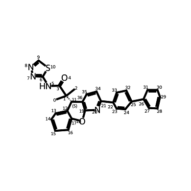 CC(C)(C(=O)Nc1nncs1)[C@H]1c2ccccc2Oc2nc(-c3ccc(-c4ccccc4)cc3)ccc21